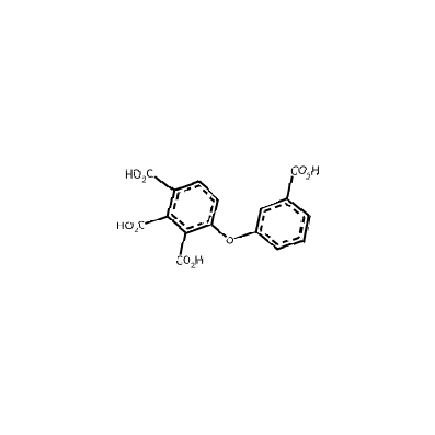 O=C(O)c1cccc(Oc2ccc(C(=O)O)c(C(=O)O)c2C(=O)O)c1